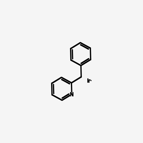 [Ir].c1ccc(Cc2ccccn2)cc1